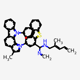 C=C/C=C(\C)CNC(N=C)c1cc(-n2cc(C)c3ccc4c5ccccc5n(-c5ccccc5)c4c32)cc2c1sc1ccccc12